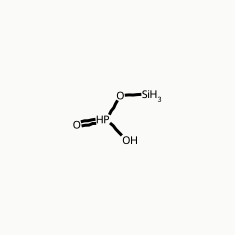 O=[PH](O)O[SiH3]